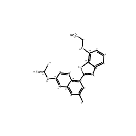 Cc1cc(-c2nc3cccc(OCC(=O)O)c3s2)c2ncc(OC(F)F)nc2c1